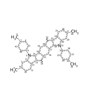 Cc1ccc(-n2c3cc(C)ccc3c3sc4cc5c(cc4c32)sc2c3ccc(C)cc3n(-c3ccc(C)cc3)c52)cc1